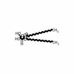 CCCCCCCCCCCCCCCCCC(=O)O[C@@H]1[C@@H](O)[C@H](O)[C@@H](CO)OC1(C)OC(=O)CCCCCCCCCCCCCCCCC